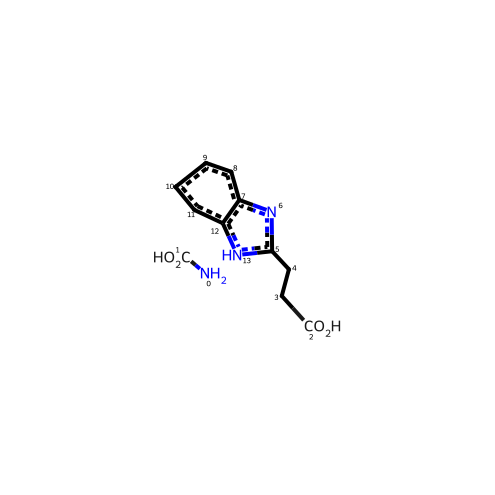 NC(=O)O.O=C(O)CCc1nc2ccccc2[nH]1